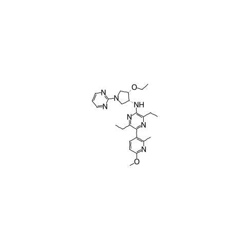 CCO[C@H]1CN(c2ncccn2)C[C@H]1Nc1nc(CC)c(-c2ccc(OC)nc2C)nc1CC